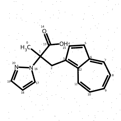 CC(Cc1ccc2cccccc1-2)(C(=O)O)n1cccn1